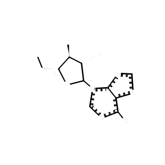 Nc1ncn(C2O[C@H](CO)[C@@H](O)[C@@H]2O)c2ncnc1-2